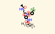 CC(C)(C)OC(=O)Nc1ccc2c(c1)N(S(=O)(=O)c1cccc(C(F)(F)F)c1)C[C@H](CCNC(=O)C1CC1)O2